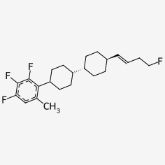 Cc1cc(F)c(F)c(F)c1C1CCC([C@H]2CC[C@H](/C=C/CCF)CC2)CC1